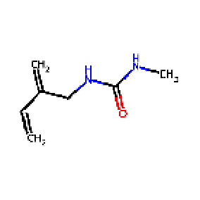 C=CC(=C)CNC(=O)NC